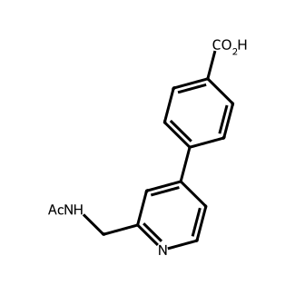 CC(=O)NCc1cc(-c2ccc(C(=O)O)cc2)ccn1